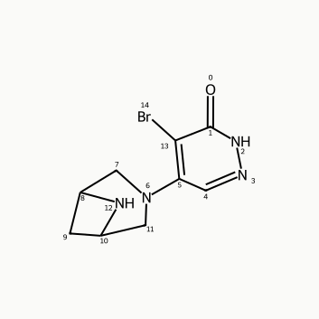 O=c1[nH]ncc(N2CC3CC(C2)N3)c1Br